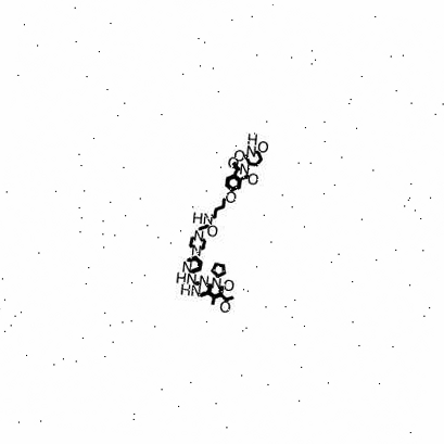 CC(=O)c1c(C)c2c(n(C3CCCC3)c1=O)=NC(Nc1ccc(N3CCN(CC(=O)NCCCCOc4ccc5c(c4)C(=O)N(C4CCC(=O)NC4=O)C5=O)CC3)cn1)NC=2